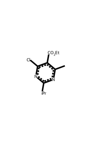 CCOC(=O)c1c(C)nc(C(C)C)nc1Cl